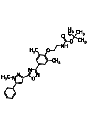 Cc1cc(-c2noc(-c3cc(-c4ccccc4)n(C)n3)n2)cc(C)c1OCCNC(=O)OC(C)(C)C